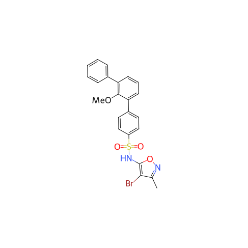 COc1c(-c2ccccc2)cccc1-c1ccc(S(=O)(=O)Nc2onc(C)c2Br)cc1